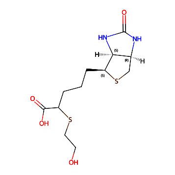 O=C1N[C@H]2[C@H](CS[C@H]2CCCC(SCCO)C(=O)O)N1